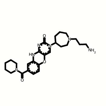 NCCCN1CCCC(n2cc3c(nc2=O)Nc2cc(C(=O)N4CCCCC4)ccc2O3)CC1